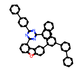 c1ccc(-c2ccc(-c3nc(-c4ccccc4)nc(-c4cccc5oc6ccc(-c7cc(-c8ccccc8)cc(-c8cccc(-c9ccccc9)c8)c7)cc6c45)n3)cc2)cc1